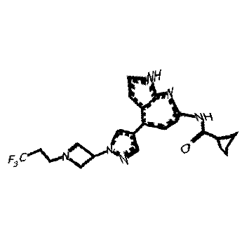 O=C(Nc1cc(-c2cnn(C3CN(CCC(F)(F)F)C3)c2)c2cc[nH]c2n1)C1CC1